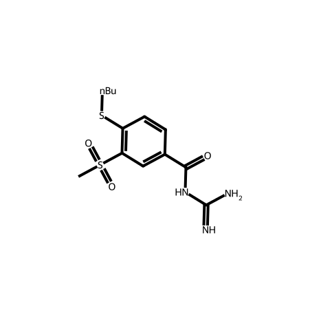 CCCCSc1ccc(C(=O)NC(=N)N)cc1S(C)(=O)=O